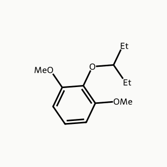 CCC(CC)Oc1c(OC)cccc1OC